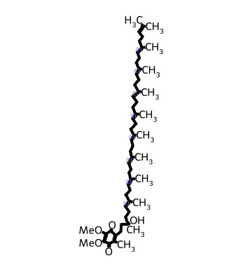 COC1=C(OC)C(=O)C(CCC(C)(O)CC/C=C(\C)CC/C=C(\C)CC/C=C(\C)CC/C=C(\C)CC/C=C(\C)CC/C=C(\C)CC/C=C(\C)CC/C=C(\C)CCC=C(C)C)=C(C)C1=O